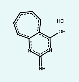 Cl.N=c1nc2cccccc-2c(O)n1